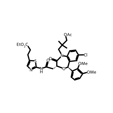 CCOC(=O)CCc1cnc(NC(=O)C[C@H]2O[C@H](c3cccc(OC)c3OC)c3cc(Cl)ccc3N(CC(C)(C)COC(C)=O)C2=O)s1